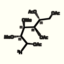 [2H]C(OC(C)=O)[C@H](OC)[C@@H](OC)[C@H](OC(C)=O)[C@@H](COC(C)=O)OC(C)=O